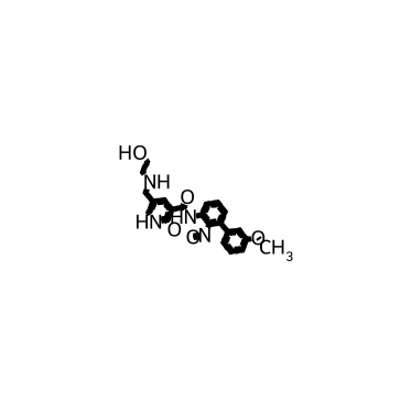 COc1cccc(-c2cccc(NC(=O)c3cc(CNCCO)c[nH]c3=O)c2N=O)c1